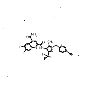 Cc1c(NC(=O)c2cc(C(N)=O)c3cc(F)c(F)cc3n2)c(C(F)(F)F)nn1Cc1ccc(C#N)cn1